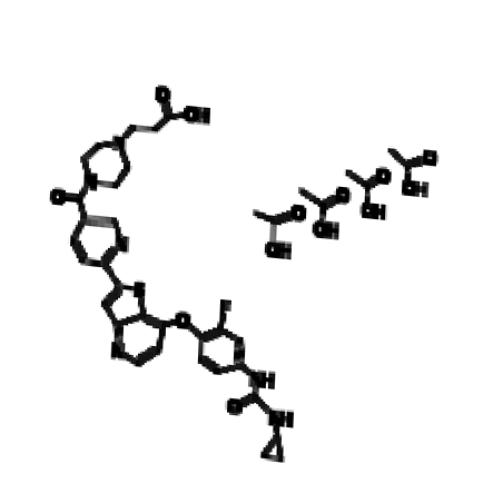 CC(=O)O.CC(=O)O.CC(=O)O.CC(=O)O.O=C(O)CCN1CCN(C(=O)c2ccc(-c3cc4nccc(Oc5ccc(NC(=O)NC6CC6)cc5F)c4s3)nc2)CC1